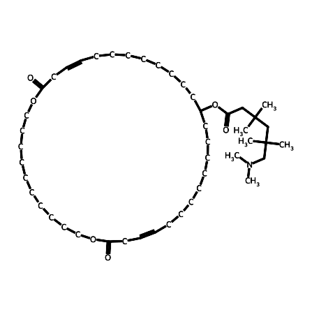 CN(C)CC(C)(C)CC(C)(C)CC(=O)OC1CCCCCCCC/C=C\CC(=O)OCCCCCCCCCCOC(=O)C/C=C\CCCCCCCC1